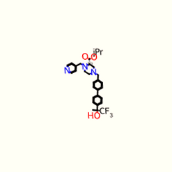 CC(C)OC(=O)[C@@H]1CN(Cc2ccc(-c3ccc(C(C)(O)C(F)(F)F)cc3)cc2)CCN1Cc1ccncc1